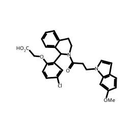 COc1ccc2ccn(CCC(=O)N3CCc4ccccc4C3c3cc(Cl)ccc3OCC(=O)O)c2c1